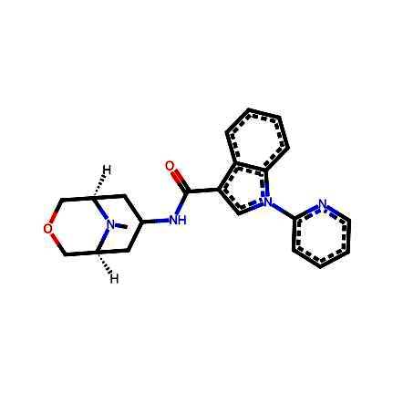 CN1[C@@H]2COC[C@H]1CC(NC(=O)c1cn(-c3ccccn3)c3ccccc13)C2